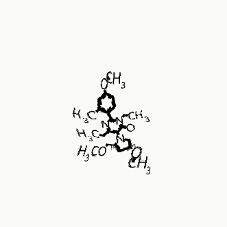 CCc1nc(-c2ccc(OC)cc2C)n(CC)c(=O)c1N1C[C@H](OC)C[C@H]1COC